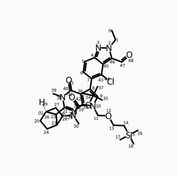 CCn1nc2ccc(-c3cn(COCC[Si](C)(C)C)c4nc(C5C6CC[C@H]5C[C@H]6N(C)C(=O)OC(C)(C)C)n(C)c(=O)c34)c(Cl)c2c1C=O